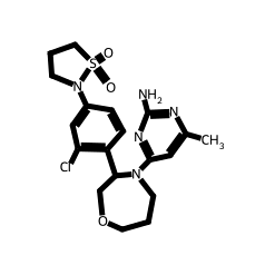 Cc1cc(N2CCCOCC2c2ccc(N3CCCS3(=O)=O)cc2Cl)nc(N)n1